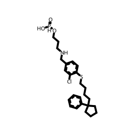 O=[PH](O)OCCCNCc1ccc(SCCCCC2(c3ccccc3)CCCC2)c(Cl)c1